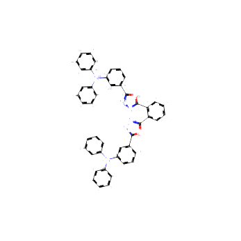 c1ccc(N(c2ccccc2)c2cccc(-c3nnc(-c4ccccc4-c4nnc(-c5cccc(N(c6ccccc6)c6ccccc6)c5)o4)o3)c2)cc1